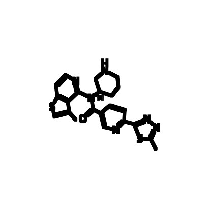 Cc1nnc(-c2ccc(C(=O)N(c3nccc4scc(C)c34)[C@@H]3CCCNC3)cn2)s1